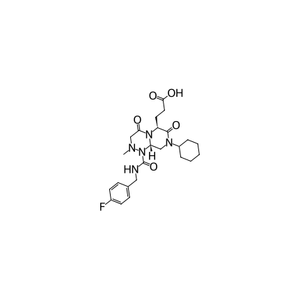 CN1CC(=O)N2[C@@H](CCC(=O)O)C(=O)N(C3CCCCC3)C[C@@H]2N1C(=O)NCc1ccc(F)cc1